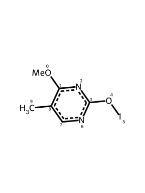 COc1nc(OI)ncc1C